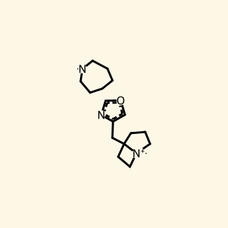 C1CCC[N]CC1.c1nc(CC23CCC[N+]2CC3)co1